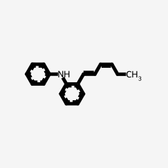 CC/C=C\C=C\c1ccccc1Nc1ccccc1